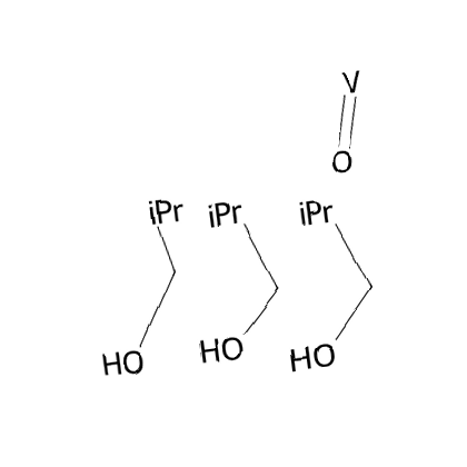 CC(C)CO.CC(C)CO.CC(C)CO.[O]=[V]